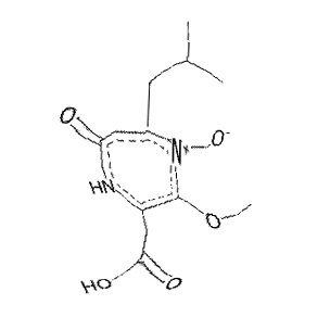 COc1c(C(=O)O)[nH]c(=O)c(CC(C)C)[n+]1[O-]